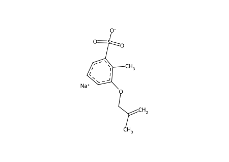 C=C(C)COc1cccc(S(=O)(=O)[O-])c1C.[Na+]